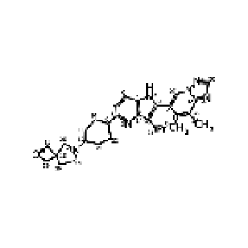 Cc1c(-c2[nH]c3ccc(C4CCC(N5CCC6(COC6)C5)CC4)nc3c2C(C)C)cn2ncnc2c1C